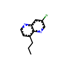 [CH2]CCc1ccnc2cc(Br)cnc12